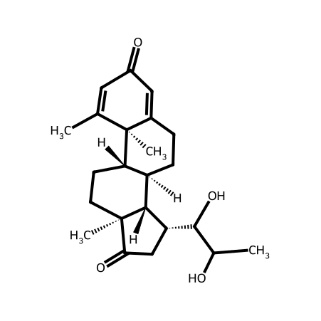 CC1=CC(=O)C=C2CC[C@H]3[C@@H]4[C@H](C(O)C(C)O)CC(=O)[C@@]4(C)CC[C@@H]3[C@@]12C